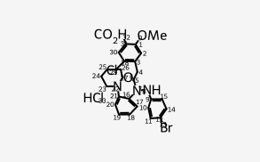 COc1cc(CC(=O)N(Nc2ccc(Br)cc2)c2ccccc2N2CCCCC2)c(Cl)cc1C(=O)O.Cl